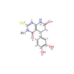 CC(C)n1c(S)nc2c(c1=O)C(c1ccc(O)c(O)c1)CC(=O)N2